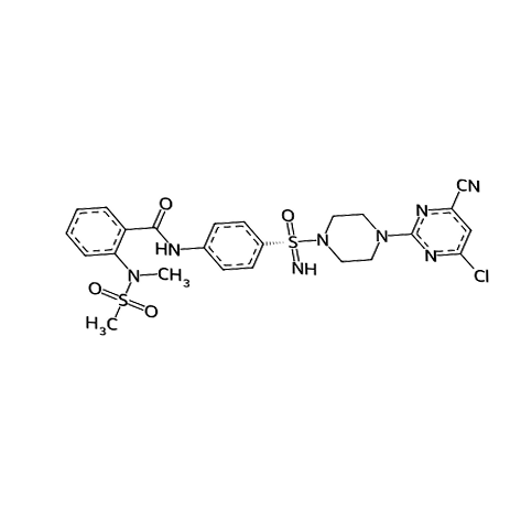 CN(c1ccccc1C(=O)Nc1ccc([S@](=N)(=O)N2CCN(c3nc(Cl)cc(C#N)n3)CC2)cc1)S(C)(=O)=O